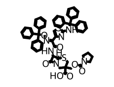 O=C(NC1C(=O)N2CC(COC(=O)N3CCCC3)(C(=O)O)CS[C@H]12)C(=NOC(c1ccccc1)(c1ccccc1)c1ccccc1)c1csc(NC(c2ccccc2)(c2ccccc2)c2ccccc2)n1